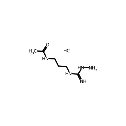 CC(=O)NCCCNC(=N)NN.Cl